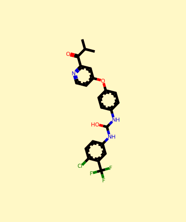 CC(C)C(=O)c1cc(Oc2ccc(NC(O)Nc3ccc(Cl)c(C(F)(F)F)c3)cc2)ccn1